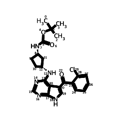 CC(C)(C)OC(=O)N[C@H]1CC[C@@H](Nc2ncnc3[nH]cc(C(=O)c4ccccc4Cl)c23)C1